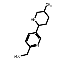 CCc1ccc(C2CCC(C)CN2)cn1